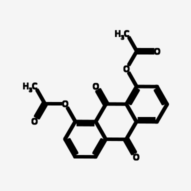 CC(=O)Oc1cccc2c1C(=O)c1c(OC(C)=O)cccc1C2=O